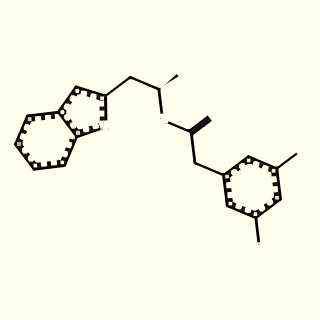 O=C(Cc1cc(F)cc(F)c1)N[C@@H](Cc1cc2ccccc2[nH]1)C(=O)O